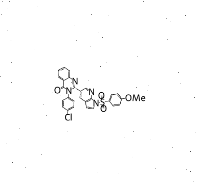 COc1ccc(S(=O)(=O)n2ccc3cc(-c4nc5ccccc5c(=O)n4-c4ccc(Cl)cc4)cnc32)cc1